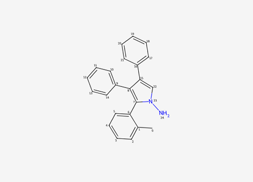 Cc1ccccc1-c1c(-c2ccccc2)c(-c2ccccc2)cn1N